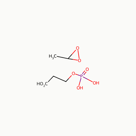 CC1OO1.O=C(O)CCOP(=O)(O)O